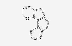 C1=Cc2ccc3ccc4ccccc4c3c2OC1